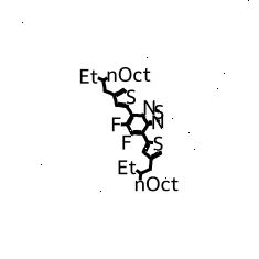 CCCCCCCCC(CC)Cc1csc(-c2c(F)c(F)c(-c3cc(CC(CC)CCCCCCCC)cs3)c3nsnc23)c1